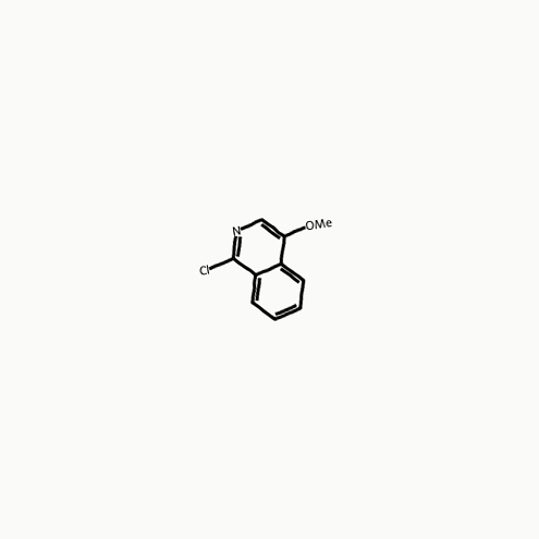 COc1cnc(Cl)c2ccccc12